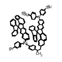 CC(C)c1ccc(N(c2ccc(C(C)Cc3ccc4c5c(ccc4c3)-c3cc4ccc(N(c6ccc(C(C)(C)C)cc6)c6ccc(C(C)(C)C)cc6)cc4cc3C53c4ccccc4-c4ccccc43)cc2)c2ccc3cc4c(cc3c2)C2(c3ccccc3-c3ccccc32)c2c-4ccc3ccccc23)cc1